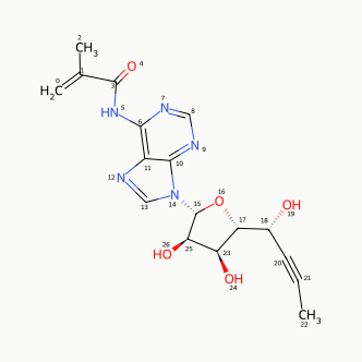 C=C(C)C(=O)Nc1ncnc2c1ncn2[C@@H]1O[C@H]([C@H](O)C#CC)[C@@H](O)[C@H]1O